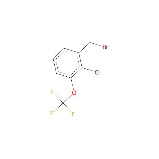 FC(F)(F)Oc1cccc(CBr)c1Cl